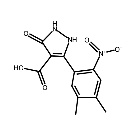 Cc1cc(-c2[nH][nH]c(=O)c2C(=O)O)c([N+](=O)[O-])cc1C